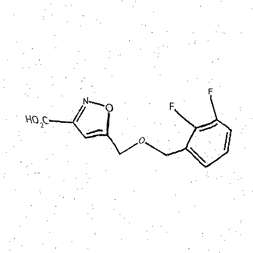 O=C(O)c1cc(COCc2cccc(F)c2F)on1